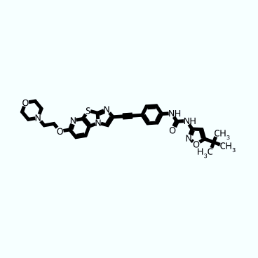 CC(C)(C)c1cc(NC(=O)Nc2ccc(C#Cc3cn4c(n3)sc3nc(OCCN5CCOCC5)ccc34)cc2)no1